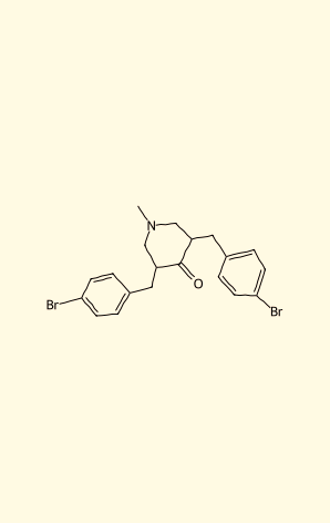 CN1CC(Cc2ccc(Br)cc2)C(=O)C(Cc2ccc(Br)cc2)C1